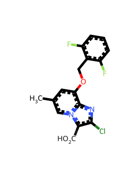 Cc1cc(OCc2c(F)cccc2F)c2nc(Cl)c(C(=O)O)n2c1